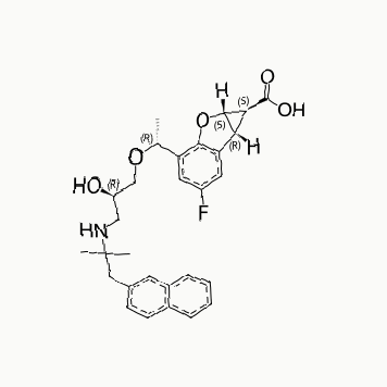 C[C@@H](OC[C@H](O)CNC(C)(C)Cc1ccc2ccccc2c1)c1cc(F)cc2c1O[C@@H]1[C@@H](C(=O)O)[C@H]21